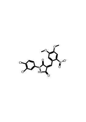 COc1cc(C=C2C(=O)NN(c3ccc(Cl)c(Cl)c3)C2=O)c([N+](=O)[O-])cc1OC